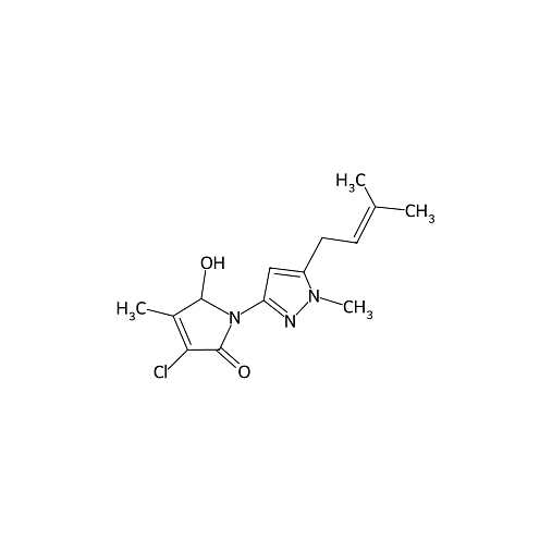 CC(C)=CCc1cc(N2C(=O)C(Cl)=C(C)C2O)nn1C